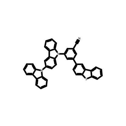 N#Cc1cc(-c2ccc3sc4ccccc4c3c2)cc(-n2c3ccccc3c3cc(-n4c5ccccc5c5ccccc54)ccc32)c1